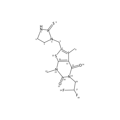 Cc1c(CN2CCNC2=S)sc2c1c(=O)n(CC(F)F)c(=O)n2C